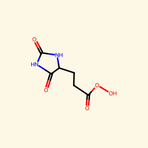 O=C1NC(=O)C(CCC(=O)OO)N1